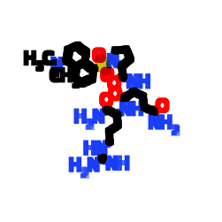 CN(C)c1cccc2c(S(=O)(=O)N3CCCC3C(=O)NC(CCC(N)=O)C(=O)NC(CCCNC(=N)N)C(N)=O)cccc12